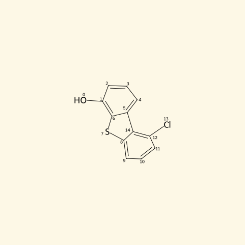 Oc1cccc2c1sc1cccc(Cl)c12